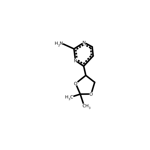 CC1(C)OCC(c2ccnc(N)n2)O1